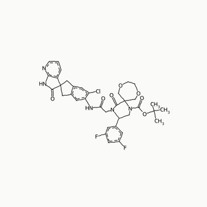 CC(C)(C)OC(=O)N1CC(c2cc(F)cc(F)c2)N(CC(=O)Nc2cc3c(cc2Cl)CC2(C3)C(=O)Nc3ncccc32)C(=O)C12COCCOC2